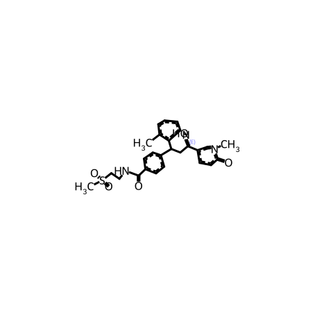 Cc1ccccc1C(C/C(=N\O)c1ccc(=O)n(C)c1)c1ccc(C(=O)NCCS(C)(=O)=O)cc1